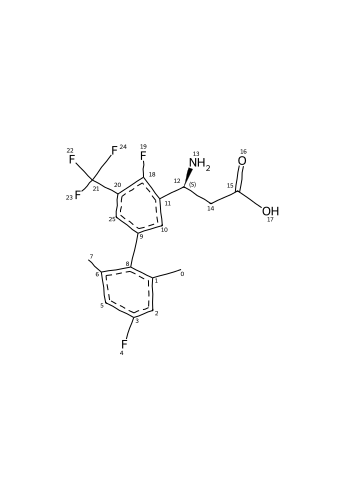 Cc1cc(F)cc(C)c1-c1cc([C@@H](N)CC(=O)O)c(F)c(C(F)(F)F)c1